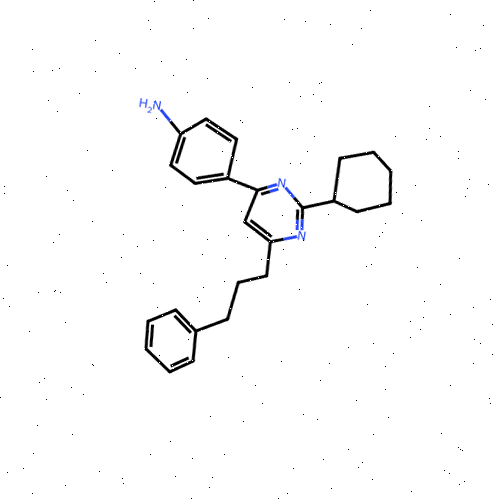 Nc1ccc(-c2cc(CCCc3ccccc3)nc(C3CCCCC3)n2)cc1